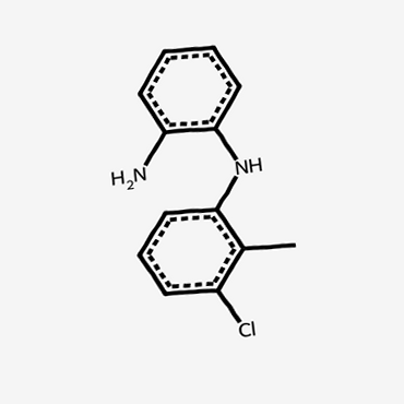 Cc1c(Cl)cccc1Nc1ccccc1N